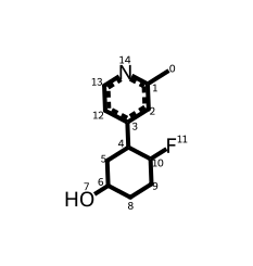 Cc1cc(C2CC(O)CCC2F)ccn1